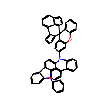 c1ccc(-c2ccccc2N(c2ccc3c(c2)Oc2ccccc2C32c3ccccc3-c3cccc4cccc2c34)c2ccc3c4ccccc4n(-c4ccccc4)c3c2)cc1